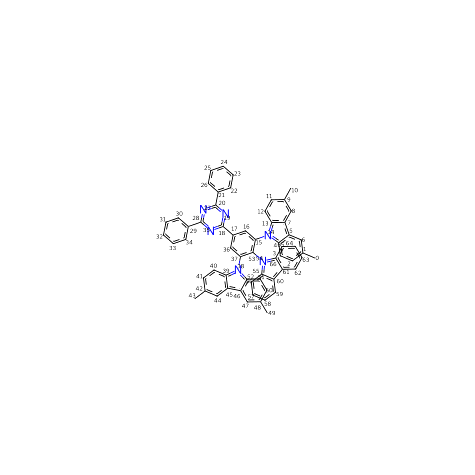 Cc1ccc2c(c1)c1cc(C)ccc1n2-c1cc(-c2nc(-c3ccccc3)nc(-c3ccccc3)n2)cc(-n2c3ccc(C)cc3c3cc(C)ccc32)c1-n1c2ccccc2c2ccccc21